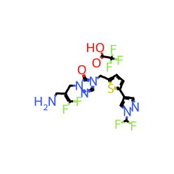 NCC(Cn1ncn(Cc2ccc(-c3cnn(C(F)F)c3)s2)c1=O)=C(F)F.O=C(O)C(F)(F)F